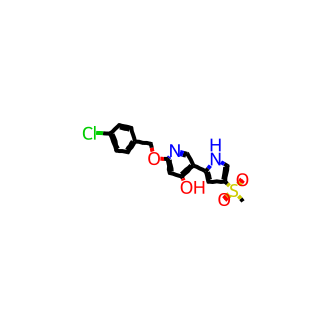 CS(=O)(=O)c1c[nH]c(-c2cnc(OCc3ccc(Cl)cc3)cc2O)c1